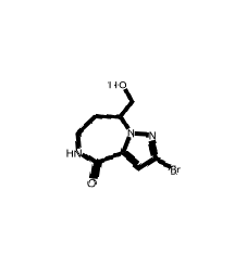 O=C1NCCC(CO)n2nc(Br)cc21